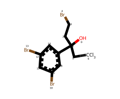 OC(CCBr)(CC(Cl)(Cl)Cl)c1cc(Br)cc(Br)c1